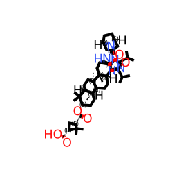 Cc1nnc(C(C)C)n1[C@H]1C[C@H]2CC[C@@H](C1)N2C(=O)N[C@@]12CC[C@]3(C)[C@H](CC[C@@H]4[C@@]5(C)CC[C@H](OC(=O)[C@H]6C[C@@H](C(=O)O)C6(C)C)C(C)(C)[C@@H]5CC[C@]43C)C1=C(C(C)C)C(=O)C2